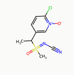 CC(c1ccc(Cl)[n+]([O-])c1)S(C)(=O)=NC#N